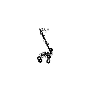 N=C(OC(=N)c1cc(N2CCCCC2)ccc1NC(=O)c1cccc(CCCOCCOCCOCCOCCC(=O)O)c1)C(=O)N[C@H]1CCCc2ccccc21